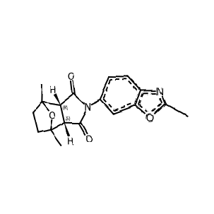 Cc1nc2ccc(N3C(=O)[C@@H]4[C@H](C3=O)C3(C)CCC4(C)O3)cc2o1